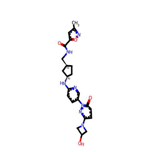 Cc1cc(C(=O)NC[C@H]2CC[C@@H](Nc3ccc(-n4nc(N5CC(O)C5)ccc4=O)cn3)C2)on1